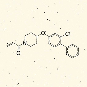 C=CC(=O)N1CCC(Oc2ccc(-c3ccccc3)c(Cl)c2)CC1